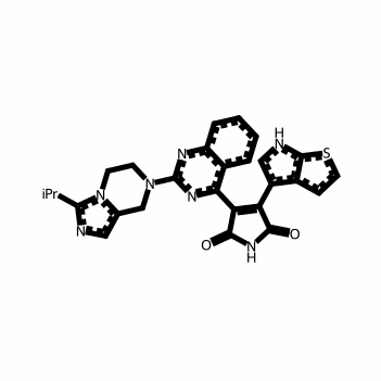 CC(C)c1ncc2n1CCN(c1nc(C3=C(c4c[nH]c5sccc45)C(=O)NC3=O)c3ccccc3n1)C2